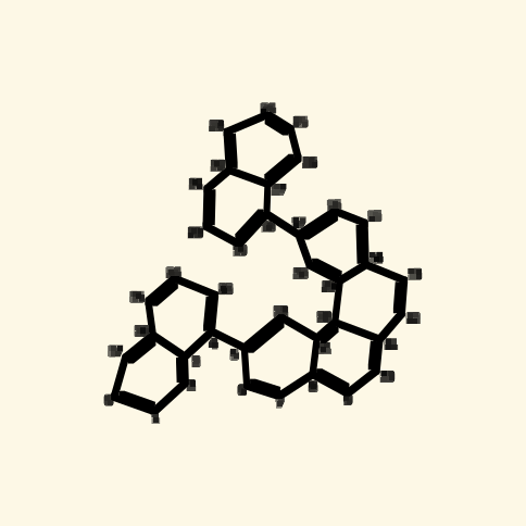 c1ccc2c(-c3ccc4ccc5ccc6ccc(-c7cccc8ccccc78)cc6c5c4c3)cccc2c1